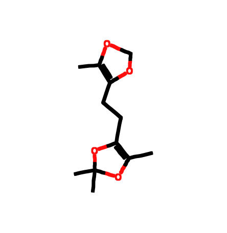 CC1=C(CCC2=C(C)OC(C)(C)O2)OCO1